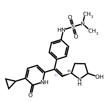 CN(C)S(=O)(=O)Nc1ccc(/C(=C\[C@H]2CCC(O)N2)c2ccc(C3CC3)c(=O)[nH]2)cc1